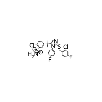 CC(C)(c1ccc(Cl)c(S(N)(=O)=O)c1)c1cnc(SCc2ccc(F)cc2Cl)n1-c1ccc(F)cc1